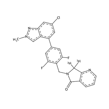 [2H]C1([2H])c2ncccc2C(=O)N1Cc1c(F)cc(-c2cc(Cl)cc3nn(C)cc23)cc1F